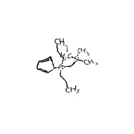 CC[CH2][Pt]([CH2]CC)([CH2][Si](C)(C)C)[CH]1C=CC=C1